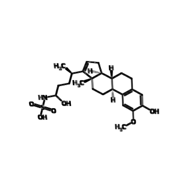 COc1cc2c(cc1O)CC[C@@H]1[C@@H]2CC[C@]2(C)C([C@H](C)CCC(O)NS(=O)(=O)O)=CC[C@@H]12